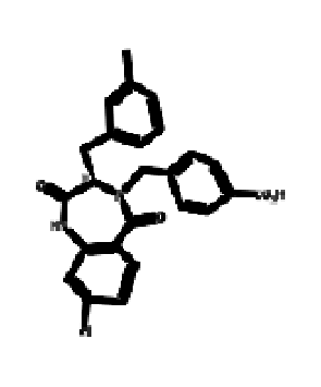 Cc1cccc(C[C@@H]2C(=O)Nc3cc(Cl)ccc3C(=O)N2Cc2ccc(C(=O)O)cc2)c1